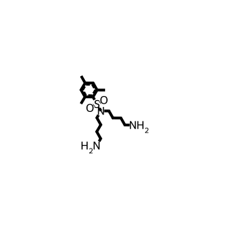 Cc1cc(C)c(S(=O)(=O)N(CCCCN)CCCCN)c(C)c1